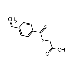 C=Cc1ccc(C(=S)SCC(=O)O)cc1